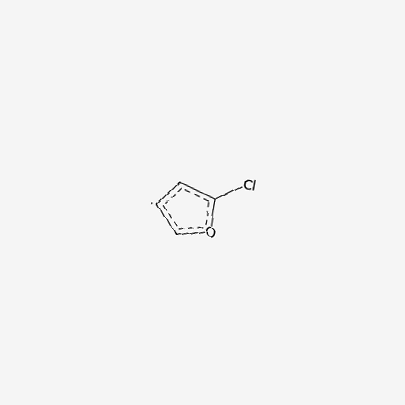 Clc1c[c]co1